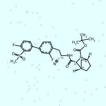 CC(C)(C)OC(=O)N1[C@@H]2CC[C@@H](C2)[C@H]1C(=O)N[C@H](C#N)Cc1ccc(-c2ccc(F)c(S(C)(=O)=O)c2)cc1F